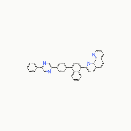 c1ccc(-c2cnc(-c3ccc(-c4ccc(-c5ccc6ccc7cccnc7c6n5)c5ccccc45)cc3)cn2)cc1